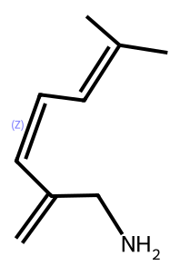 C=C(/C=C\C=C(C)C)CN